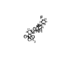 CN1C(=O)C2=C(C1=O)N(CC(=O)Nc1ccc(-c3cccc(F)c3)nn1)CCC2